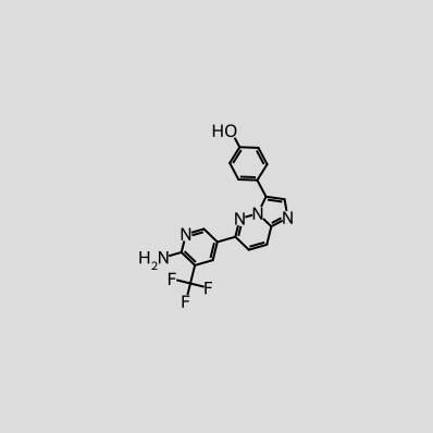 Nc1ncc(-c2ccc3ncc(-c4ccc(O)cc4)n3n2)cc1C(F)(F)F